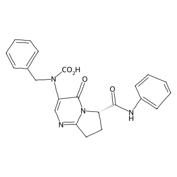 O=C(Nc1ccccc1)[C@@H]1CCc2ncc(N(Cc3ccccc3)C(=O)O)c(=O)n21